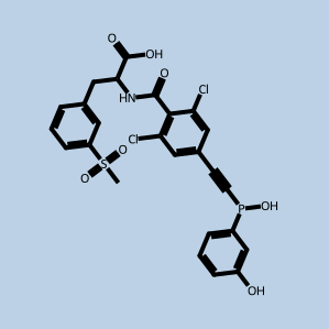 CS(=O)(=O)c1cccc(CC(NC(=O)c2c(Cl)cc(C#CP(O)c3cccc(O)c3)cc2Cl)C(=O)O)c1